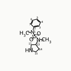 CN(c1ccccc1)S(=O)(=O)N(C)C1CCNC1